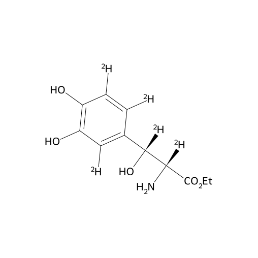 [2H]c1c([2H])c([C@@]([2H])(O)[C@@]([2H])(N)C(=O)OCC)c([2H])c(O)c1O